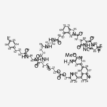 C=C(CCC(=O)NC(CSSCCOC(=O)OCc1ccc(-c2ccnc3ccc(-c4cnc(OC)c(N)c4)cc23)cn1)C(=O)NCCNC(=O)CCCc1ccc(I)cc1)NCCNC(=O)CCc1cccc2c1CN(C(=O)C[C@@H]1C[C@@H](C(=O)N3CC(F)(F)C[C@H]3C#N)NC1=O)C2